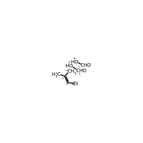 CCC=C(C)C.O=CO.O=CO